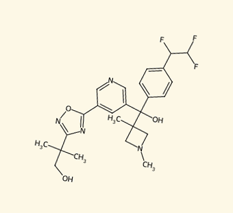 CN1CC(C)(C(O)(c2ccc(C(F)C(F)F)cc2)c2cncc(-c3nc(C(C)(C)CO)no3)c2)C1